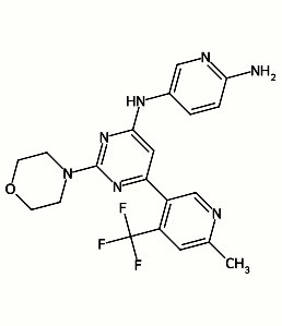 Cc1cc(C(F)(F)F)c(-c2cc(Nc3ccc(N)nc3)nc(N3CCOCC3)n2)cn1